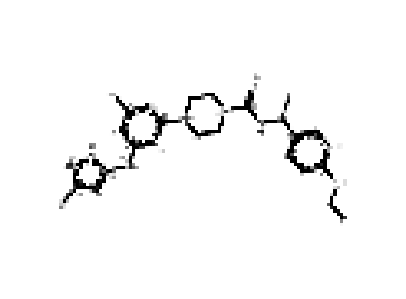 CCOc1ccc([C@H](C)NC(=O)N2CCN(c3nc(C)cc(Nc4cc(C)[nH]n4)n3)CC2)cn1